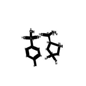 Cc1ccc(S(=O)(=O)O)cc1.NC(=O)[C@@H]1CC(F)(F)CN1